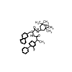 CC(C(=O)N[C@@H](Cc1ccc2ccccc2c1)C(=O)NC1CC(C)(C)NC(C)(C)C1)c1ccc(-c2ccccc2)c(F)c1